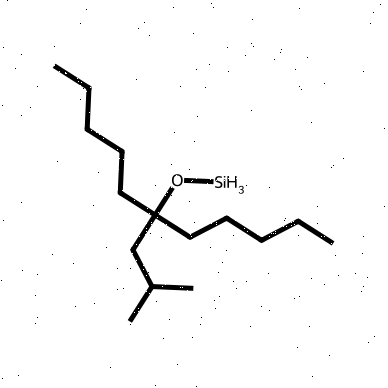 CCCCCC(CCCCC)(CC(C)C)O[SiH3]